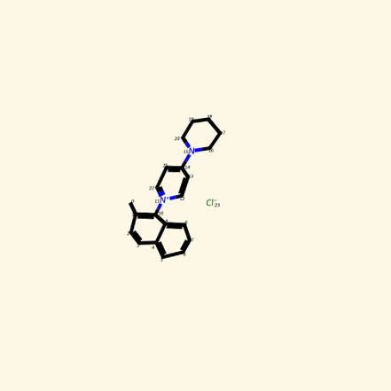 Cc1ccc2ccccc2c1-[n+]1ccc(N2CCCCC2)cc1.[Cl-]